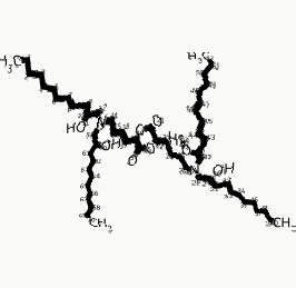 CCCCCCCCCCC(O)CN(CCCCC1OC(=O)C(CCCCN(CC(O)CCCCCCCCCC)CC(CCCCCCCCCC)OS)OC1=O)CC(O)CCCCCCCCCC